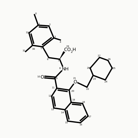 Cc1cc(C)c(C[C@H](NC(=O)c2ccc3ccccc3c2OCC2CCCCC2)C(=O)O)c(C)c1